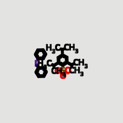 CC(C)c1cc(C(C)C)c(S(=O)(=O)[O-])c(C(C)C)c1.c1ccc([I+]c2ccccc2)cc1